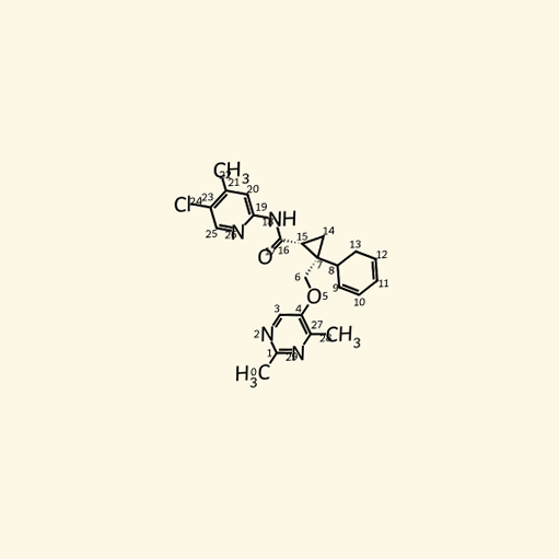 Cc1ncc(OC[C@@]2(C3C=CC=CC3)C[C@H]2C(=O)Nc2cc(C)c(Cl)cn2)c(C)n1